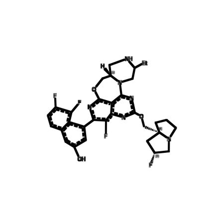 CCC1CN2c3nc(OC[C@]45CCCN4C[C@H](F)C5)nc4c(F)c(-c5cc(O)cc6ccc(F)c(F)c56)nc(c34)OC[C@@H]2CN1